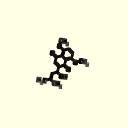 COc1ccc(OC)c2c1C(=O)C=C(C(O)C=C(C)C)C2=O